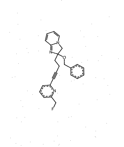 FCc1cccc(C#CCCC2(OCc3ccccc3)CN3C=CC=CC3=N2)n1